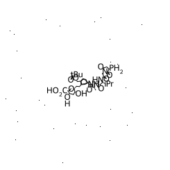 CC(C)[C@H](NC(=O)CN1C(=O)CC(P)C1=O)C(=O)N[C@@H](C)C(=O)Nc1ccc(COC(=O)C(C)(C)C)c(CC[C@@H]2O[C@H](C(=O)O)[C@@H](O)C[C@H]2O)c1